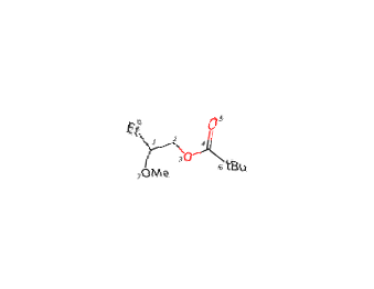 CCC(COC(=O)C(C)(C)C)OC